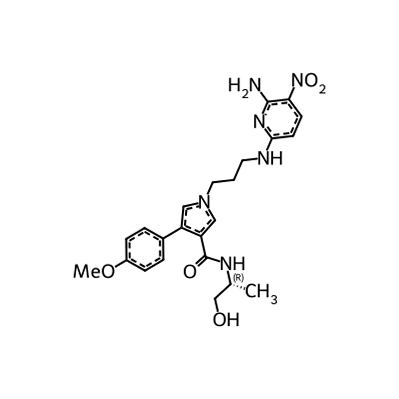 COc1ccc(-c2cn(CCCNc3ccc([N+](=O)[O-])c(N)n3)cc2C(=O)N[C@H](C)CO)cc1